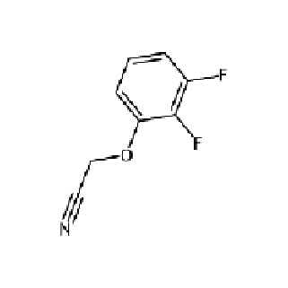 N#CCOc1cccc(F)c1F